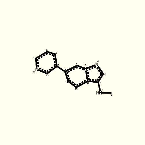 CNc1cnn2cc(-c3cccnc3)ccc12